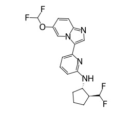 FC(F)Oc1ccc2ncc(-c3cccc(N[C@H]4CCC[C@@H]4C(F)F)n3)n2c1